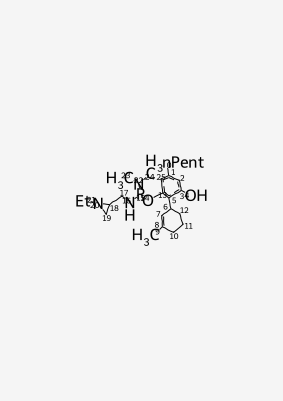 CCCCCc1cc(O)c(C2C=C(C)CCC2)c(OP(NCC2CN2CC)N(C)C)c1